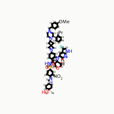 COc1ccc(CN2CCN(C3CC4(C3)CN(c3ccc(C(=O)NS(=O)(=O)c5ccc(NC[C@H]6CC[C@](C)(O)CC6)c([N+](=O)[O-])c5)c(N5c6cc7c(F)c[nH]c7nc6O[C@H]6COCC[C@@H]65)c3)C4)[C@H](c3ccccc3C(C)C)C2)cc1